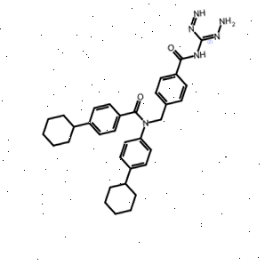 N=N/C(=N\N)NC(=O)c1ccc(CN(C(=O)c2ccc(C3CCCCC3)cc2)c2ccc(C3CCCCC3)cc2)cc1